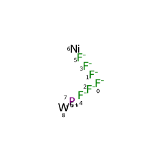 [F-].[F-].[F-].[F-].[F-].[F-].[Ni].[P].[W+6]